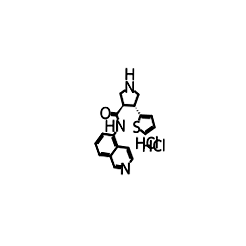 Cl.Cl.O=C(Nc1cccc2cnccc12)[C@H]1CNC[C@@H]1c1cccs1